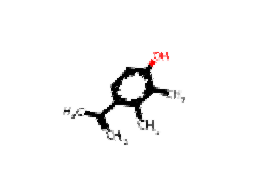 C=C(C)c1ccc(O)c(C)c1C